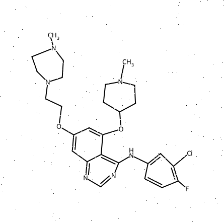 CN1CCC(Oc2cc(OCCN3CCN(C)CC3)cc3ncnc(Nc4ccc(F)c(Cl)c4)c23)CC1